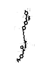 Cc1ncsc1-c1ccc([C@H](C)NC(=O)C2CCCN2C(=O)C(NC(=O)COCCCCOc2ccc(-c3ccc(N4C(=S)N(c5ccc(C#N)c(C(F)(F)F)c5F)C(=O)C4(C)C)cn3)cc2C(F)(F)F)C(C)(C)C)cc1